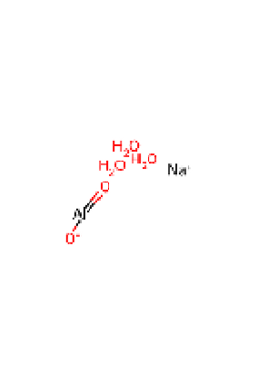 O.O.O.[Na+].[O]=[Al][O-]